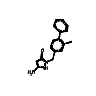 Cc1cc(Cn2[nH]c(N)cc2=O)ccc1-c1ccccc1